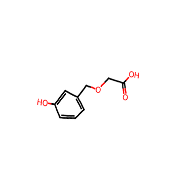 O=C(O)COCc1cccc(O)c1